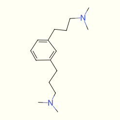 CN(C)CCCc1cccc(CCCN(C)C)c1